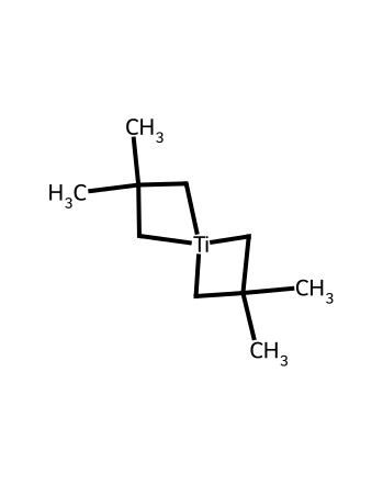 CC1(C)[CH2][Ti]2([CH2]1)[CH2]C(C)(C)[CH2]2